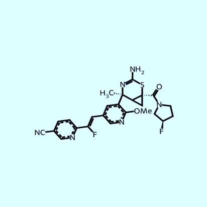 COc1ncc(/C=C(\F)c2ccc(C#N)cn2)cc1[C@@]1(C)N=C(N)S[C@@]2(C(=O)N3CC[C@@H](F)C3)CC21